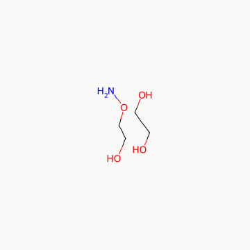 NOCCO.OCCO